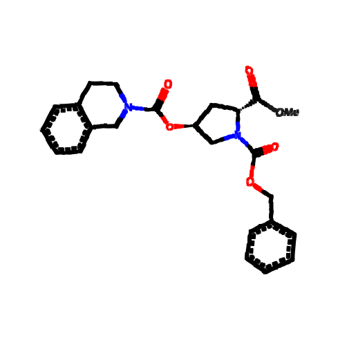 COC(=O)[C@H]1C[C@H](OC(=O)N2CCc3ccccc3C2)CN1C(=O)OCc1ccccc1